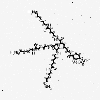 CCCP(=O)(OC)OC1CCC(C(=O)NCCCCC(C(=O)NCCCCCC(=O)NCCOCCON)N(CC(=O)NCCCCCC(=O)NCCOCCON)CC(=O)NCCCCCC(=O)NCCOCCON)CC1